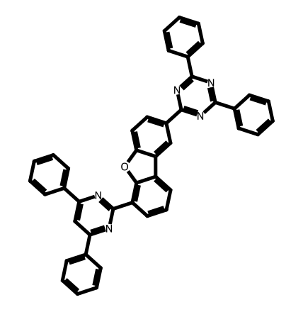 c1ccc(-c2cc(-c3ccccc3)nc(-c3cccc4c3oc3ccc(-c5nc(-c6ccccc6)nc(-c6ccccc6)n5)cc34)n2)cc1